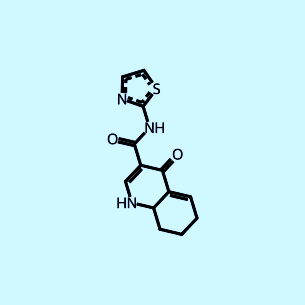 O=C(Nc1nccs1)C1=CNC2CCCC=C2C1=O